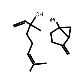 C=C1CCC2(C(C)C)CC12.C=CC(C)(O)CCC=C(C)C